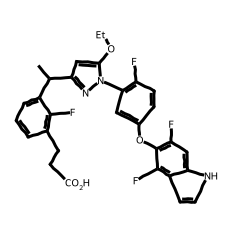 CCOc1cc(C(C)c2cccc(CCC(=O)O)c2F)nn1-c1cc(Oc2c(F)cc3[nH]ccc3c2F)ccc1F